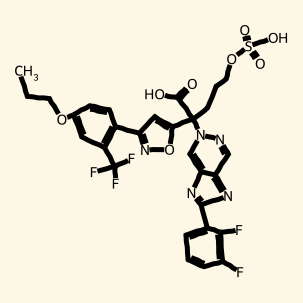 CCCOc1ccc(-c2cc(C(CCCOS(=O)(=O)O)(C(=O)O)n3cc4nc(-c5cccc(F)c5F)nc-4cn3)on2)c(C(F)(F)F)c1